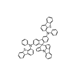 c1ccc(N(c2ccc3c(c2)-c2ccc(N(c4ccccc4)c4cccc5c4sc4ccccc45)cc2C32c3ccccc3-n3c4ccccc4c4cccc2c43)c2cccc3c2sc2ccccc23)cc1